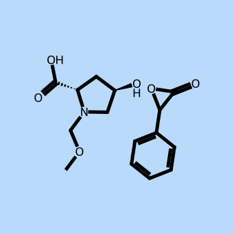 COCN1C[C@H](O)C[C@H]1C(=O)O.O=C1OC1c1ccccc1